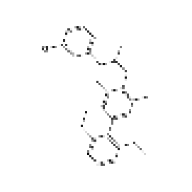 CCc1cccc(CC)c1-c1cc(C)c(CN(C)Cc2cccc(Cl)c2)c(C)n1